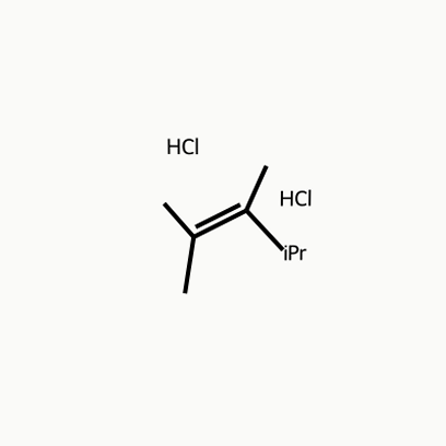 CC(C)=C(C)C(C)C.Cl.Cl